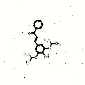 CC(C)Oc1cc(/C=C/C(=O)c2ccccc2)cc(OC(C)C)c1O